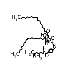 CCCCCCCC/C=C\CCCCCCCC(=O)NCC(NC(=O)CCCCCCC/C=C\CCCCCCCC)C(=O)NCC/N=C\c1ccc(C(=O)NCCCCC(C)N)cc1